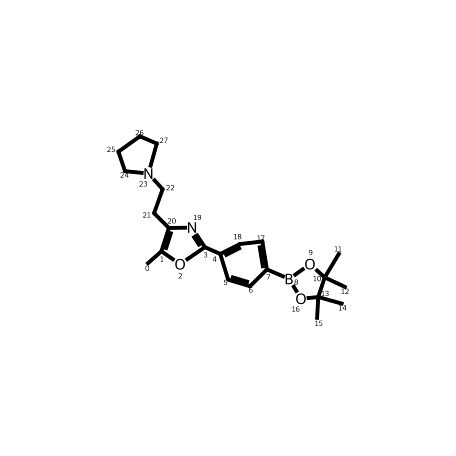 Cc1oc(-c2ccc(B3OC(C)(C)C(C)(C)O3)cc2)nc1CCN1CCCC1